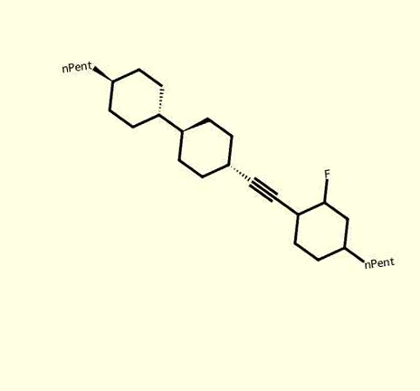 CCCCCC1CCC(C#C[C@H]2CC[C@H]([C@H]3CC[C@H](CCCCC)CC3)CC2)C(F)C1